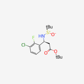 CC(C)(C)OC(=O)C[C@H](N[S@+]([O-])C(C)(C)C)c1cccc(Cl)c1F